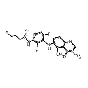 Cc1c(Nc2c(F)cnc(N[S+]([O-])CCCF)c2F)ccc2ncn(C)c(=O)c12